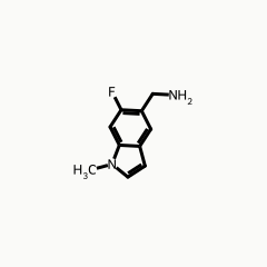 Cn1ccc2cc(CN)c(F)cc21